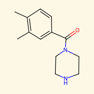 Cc1ccc(C(=O)N2CCNCC2)cc1C